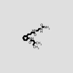 CC[C@H](C)CC(=O)Nc1ccccc1CCCC(=O)NCCNC(N)=O